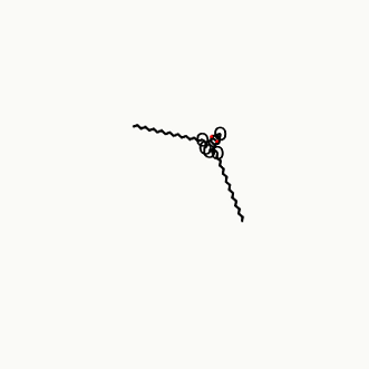 CCCCCCCCCCCCCCCCCOC(=O)C1C2CCC(C3OC23)C1C(=O)OCCCCCCCCCCCCCCCCC